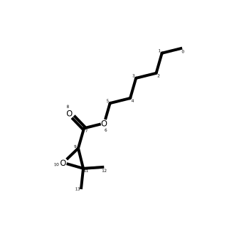 CCCCCCOC(=O)C1OC1(C)C